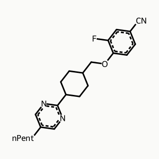 CCCCCc1cnc(C2CCC(COc3ccc(C#N)cc3F)CC2)nc1